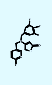 O=C1C=C(N(Cc2ccc(Cl)nc2)Cc2cc(F)c(F)c(F)c2)CO1